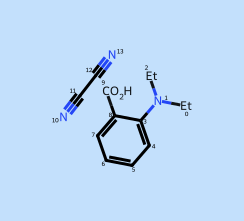 CCN(CC)c1ccccc1C(=O)O.N#CC#N